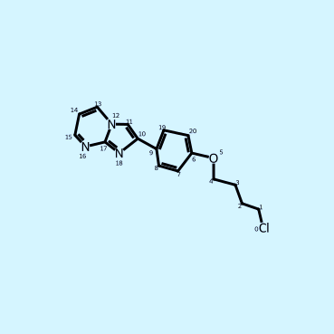 ClCCCCOc1ccc(-c2cn3cccnc3n2)cc1